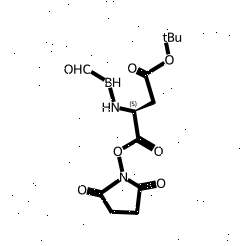 CC(C)(C)OC(=O)C[C@H](NBC=O)C(=O)ON1C(=O)CCC1=O